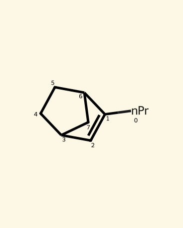 CCCC1=CC2CCC1C2